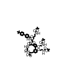 COC(=O)[C@@H]1Cc2ccc(OCCNC(=O)OC(C)(C)C)c(c2)-c2cc(ccc2OCCNC(=O)OC(C)(C)C)[C@H](N(C)C(=O)[C@H](CCCCNC(=O)OC(C)(C)C)NC(=O)c2ccc(-c3ccc(C(C)(C)C)cc3)cc2)C(=O)N[C@@H](C)C(=O)N1